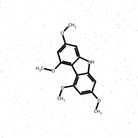 COc1cc(OC)c2c(c1)[nH]c1cc(OC)cc(OC)c12